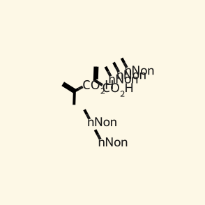 C=C(C)C(=O)O.C=CC(=O)O.CCCCCCCCCC.CCCCCCCCCC.CCCCCCCCCC.CCCCCCCCCC.CCCCCCCCCC